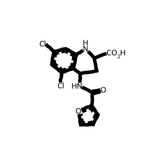 O=C(NC1CC(C(=O)O)Nc2cc(Cl)cc(Cl)c21)c1ccco1